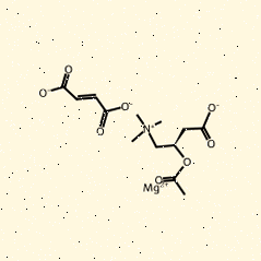 CC(=O)O[C@H](CC(=O)[O-])C[N+](C)(C)C.O=C([O-])C=CC(=O)[O-].[Mg+2]